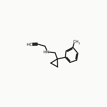 C#CCNCC1(c2cccc(C)c2)CC1